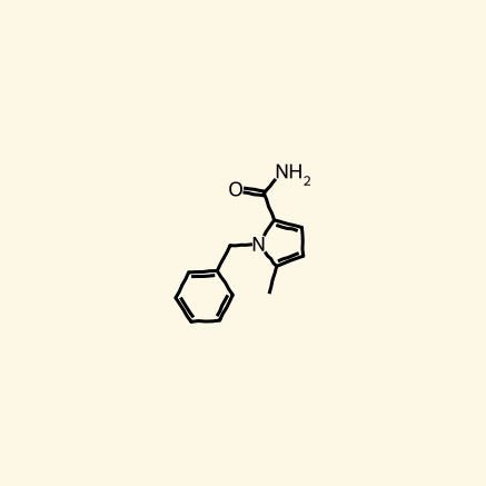 Cc1ccc(C(N)=O)n1Cc1ccccc1